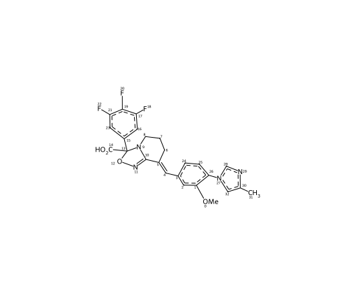 COc1cc(/C=C2\CCCN3C2=NOC3(C(=O)O)c2cc(F)c(F)c(F)c2)ccc1-n1cnc(C)c1